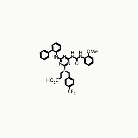 COc1ccccc1NC(=O)Nc1nc(Nc2ccccc2-c2ccccc2)nc(N(CCC(=O)O)Cc2ccc(C(F)(F)F)cc2)n1